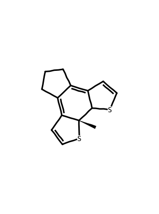 C[C@@]12SC=CC1=C1CCCC1=C1C=CSC12